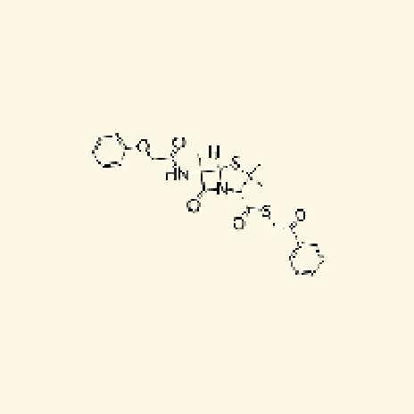 CC1(C)S[C@H]2N(C(=O)C2(C)NC(=O)COc2ccccc2)[C@H]1C(=O)SCC(=O)c1ccccc1